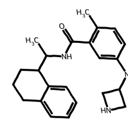 Cc1ccc(NC2CNC2)cc1C(=O)NC(C)C1CCCc2ccccc21